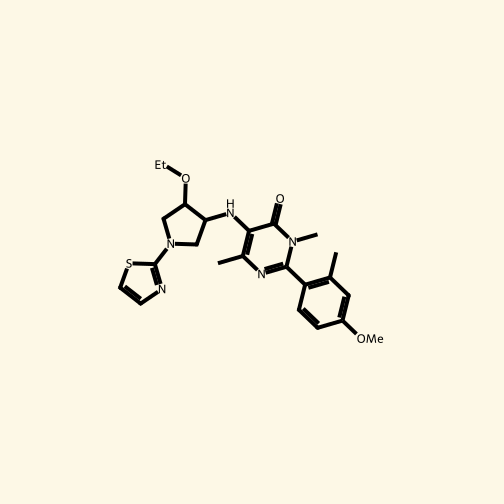 CCOC1CN(c2nccs2)CC1Nc1c(C)nc(-c2ccc(OC)cc2C)n(C)c1=O